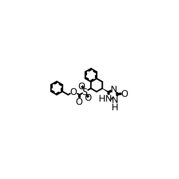 O=C(OCc1ccccc1)S(=O)(=O)C1C[C@H](c2nc(=O)[nH][nH]2)Cc2ccccc21